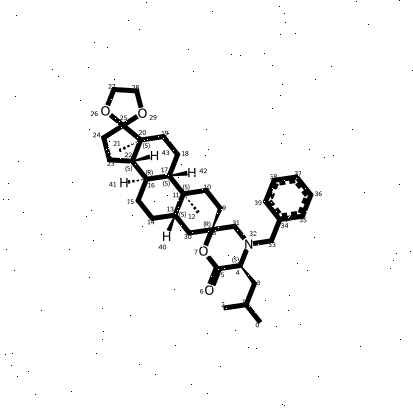 CC(C)C[C@H]1C(=O)O[C@@]2(CC[C@@]3(C)[C@@H](CC[C@@H]4[C@@H]3CC[C@@]3(C)[C@H]4CCC34OCCO4)C2)CN1Cc1ccccc1